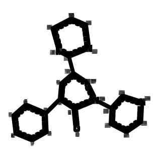 O=c1c(-c2ccccc2)cc(-c2ncccn2)nn1-c1cccnc1